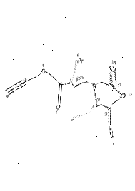 C#COC(=O)[C@H](CCC)N1[C@@H](C)C(=O)OS1=O